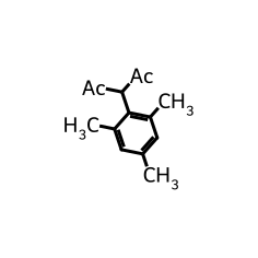 CC(=O)C(C(C)=O)c1c(C)cc(C)cc1C